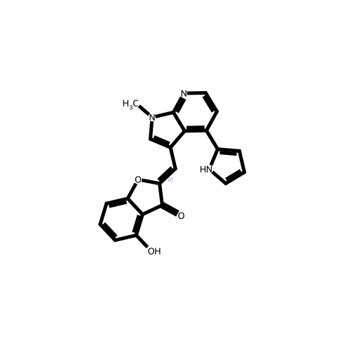 Cn1cc(/C=C2\Oc3cccc(O)c3C2=O)c2c(-c3ccc[nH]3)ccnc21